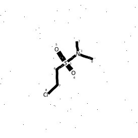 CN(C)S(=O)(=O)CCCl